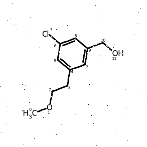 COCCc1cc(Cl)cc(CO)c1